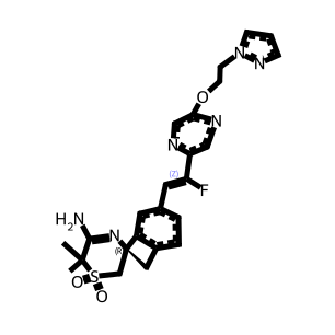 CC1(C)C(N)=N[C@@]2(Cc3ccc(/C=C(\F)c4cnc(OCCn5cccn5)cn4)cc32)CS1(=O)=O